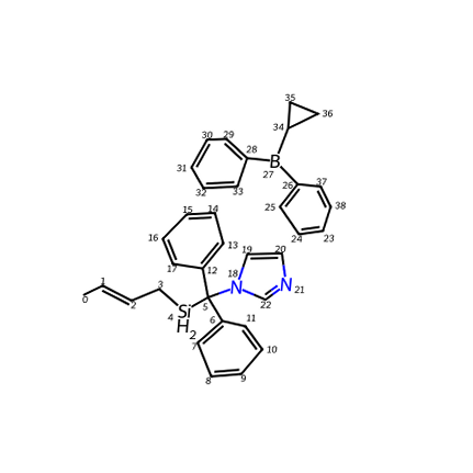 CC=CC[SiH2]C(c1ccccc1)(c1ccccc1)n1ccnc1.c1ccc(B(c2ccccc2)C2CC2)cc1